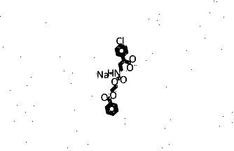 O=C(NCCC(C(=O)[O-])c1ccc(Cl)cc1)OCCOC(=O)c1ccccc1.[Na+]